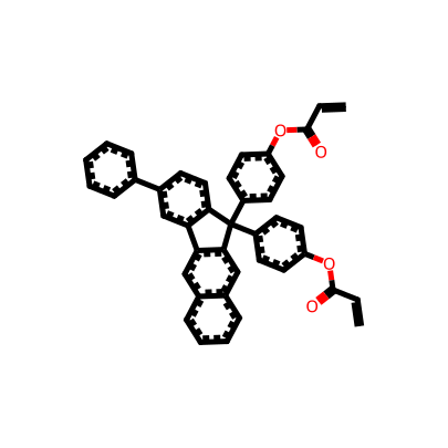 C=CC(=O)Oc1ccc(C2(c3ccc(OC(=O)C=C)cc3)c3ccc(-c4ccccc4)cc3-c3cc4ccccc4cc32)cc1